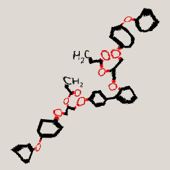 C=CC(=O)OC(COc1ccc(Oc2ccccc2)cc1)COc1ccc(-c2ccccc2OCC(COc2ccc(Oc3ccccc3)cc2)OC(=O)C=C)cc1